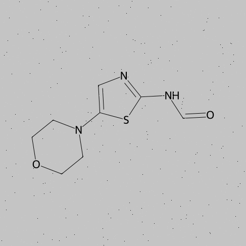 O=CNc1ncc(N2CCOCC2)s1